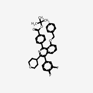 CC(C)(C)OC(=O)c1ccc(-c2nc(C3CCOCC3)c(-c3ccc(F)c(F)c3)c3cccc(OCc4ccccc4)c23)cc1